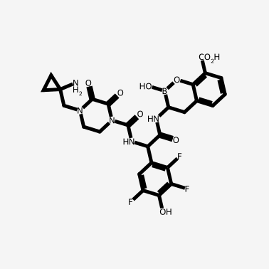 NC1(CN2CCN(C(=O)NC(C(=O)NC3Cc4cccc(C(=O)O)c4OB3O)c3cc(F)c(O)c(F)c3F)C(=O)C2=O)CC1